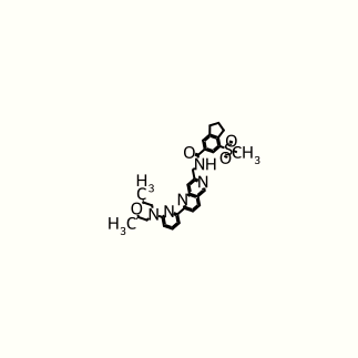 C[C@@H]1CN(c2cccc(-c3ccc4cnc(CNC(=O)c5cc6c(c(S(C)(=O)=O)c5)CCC6)cc4n3)n2)C[C@H](C)O1